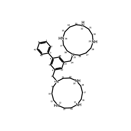 c1ccc(-c2cc(CN3CCCNCCNCCCNCC3)cc(CN3CCCNCCNCCCNCC3)c2)cc1